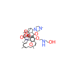 COC(=O)/C(C)=C\CC12OC(C)(C)C3CC(C1=O)C(N1CCN(C)CC1)C1C(=O)c4c(OCCNCCO)c5c(c(CC=C(C)C)c4OC132)OC(C)(CCC=C(C)C)C=C5